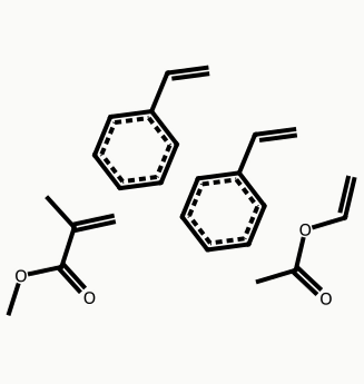 C=C(C)C(=O)OC.C=COC(C)=O.C=Cc1ccccc1.C=Cc1ccccc1